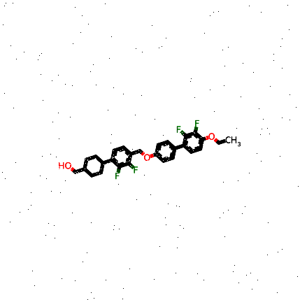 CCOc1ccc(-c2ccc(OCc3ccc(C4CCC(CO)CC4)c(F)c3F)cc2)c(F)c1F